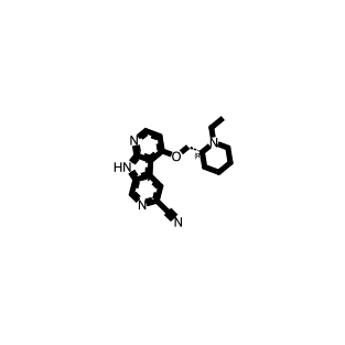 CCN1CCCC[C@@H]1COc1ccnc2[nH]c3cnc(C#N)cc3c12